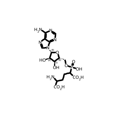 Nc1ncnc2c1ncn2[C@@H]1O[C@H](COP(=O)(O)C(CCC(N)C(=O)O)C(=O)O)[C@@H](O)[C@H]1O